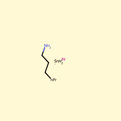 CCCCCCN.I.[SnH2]